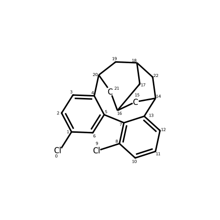 Clc1ccc2c(c1)-c1c(Cl)cccc1C1CC3CC(CC2C3)C1